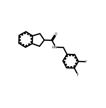 O=C(NCc1ccc(F)c(F)c1)C1Cc2ccccc2C1